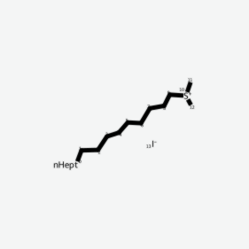 CCCCCCCCCCCCCCCC[S+](C)C.[I-]